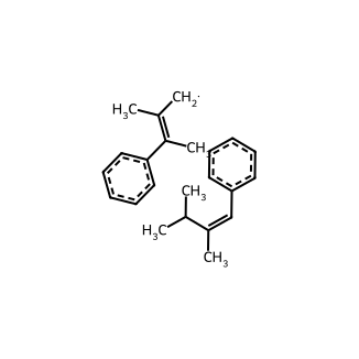 CC(=Cc1ccccc1)C(C)C.[CH2]C(C)=C(C)c1ccccc1